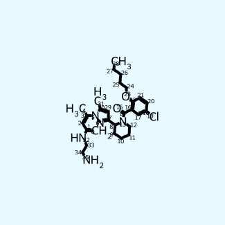 C=C(/C=C(/C)n1nc(C2CCCCN2C(=O)c2cc(Cl)ccc2OCCCCC)cc1C)NCCN